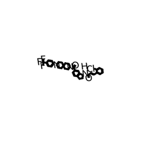 O=C(C=Cc1ccccc1Cl)NC1CCc2ccc(C(=O)N3CCC4(CC3)CCN(c3ccc(C(F)(F)F)cc3)CC4)cc21